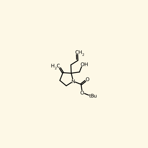 C=CCC1(CO)C(=C)CCN1C(=O)OC(C)(C)C